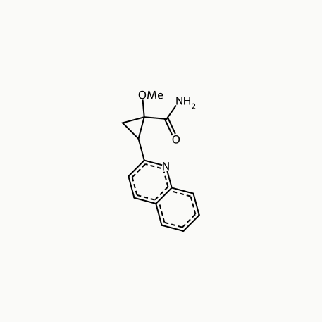 COC1(C(N)=O)CC1c1ccc2ccccc2n1